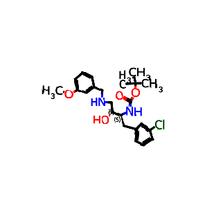 COc1cccc(CNC[C@@H](O)[C@H](Cc2cccc(Cl)c2)NC(=O)OC(C)(C)C)c1